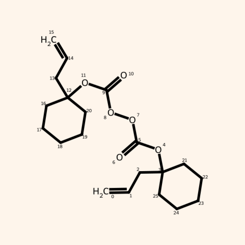 C=CCC1(OC(=O)OOC(=O)OC2(CC=C)CCCCC2)CCCCC1